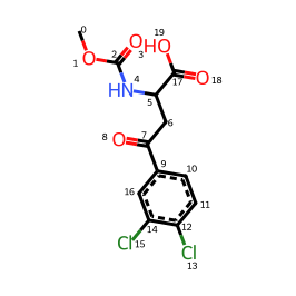 COC(=O)NC(CC(=O)c1ccc(Cl)c(Cl)c1)C(=O)O